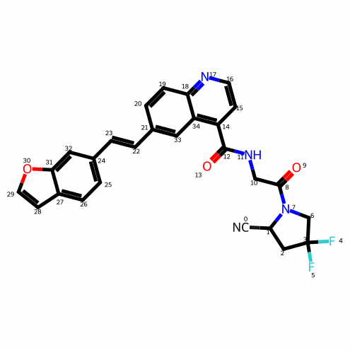 N#CC1CC(F)(F)CN1C(=O)CNC(=O)c1ccnc2ccc(C=Cc3ccc4ccoc4c3)cc12